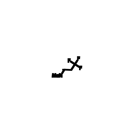 CN[CH]CC(F)(F)F